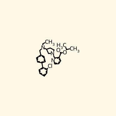 CCN(Cc1ccc(-c2ccccc2Cl)cc1)C1CCN(c2ncccc2C(=O)OC(C)C)C1